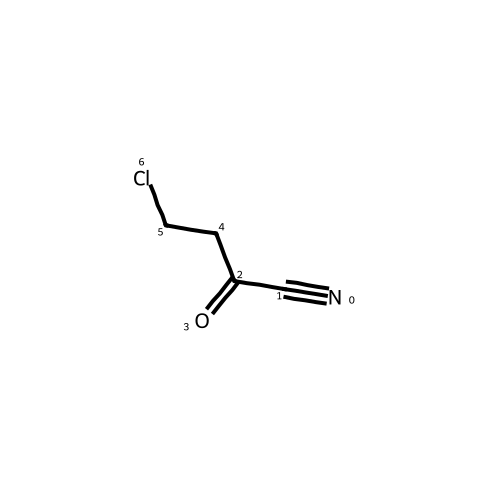 N#CC(=O)CCCl